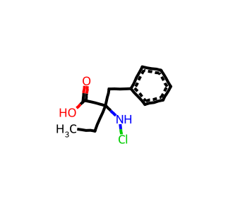 CCC(Cc1ccccc1)(NCl)C(=O)O